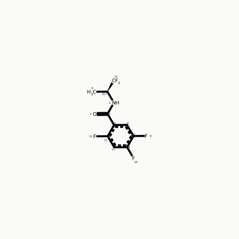 C[C@H](NC(=O)c1cc(F)c(F)cc1F)C(F)(F)F